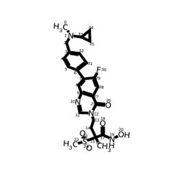 CN(Cc1ccc(-c2cc3ncn(CCC(C)(C(=O)NO)S(C)(=O)=O)c(=O)c3cc2F)cc1)C1CC1